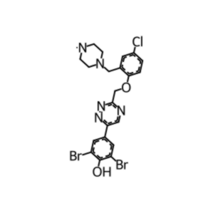 Oc1c(Br)cc(-c2cnc(COc3ccc(Cl)cc3CN3CC[N]CC3)nn2)cc1Br